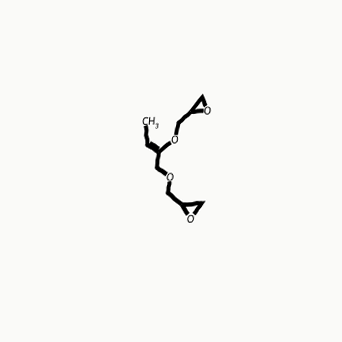 CC=C(COCC1CO1)OCC1CO1